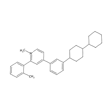 Cc1ccccc1-c1cc(-c2cccc(C3CCC(C4CCCCC4)CC3)c2)cc[n+]1C